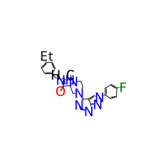 CCc1ccc(CNC(=O)C2CN(c3ncnc4nn(-c5ccc(F)cc5)cc34)CCN2C)cc1